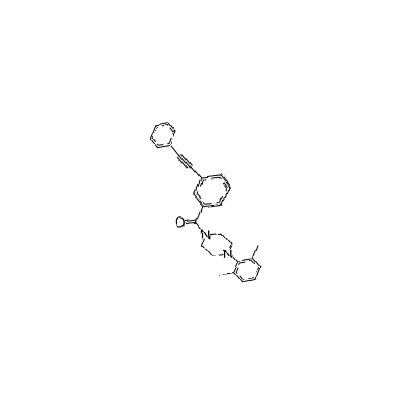 Cc1cccc(C)c1N1CCN(C(=O)c2cccc(C#Cc3ccccc3)c2)CC1